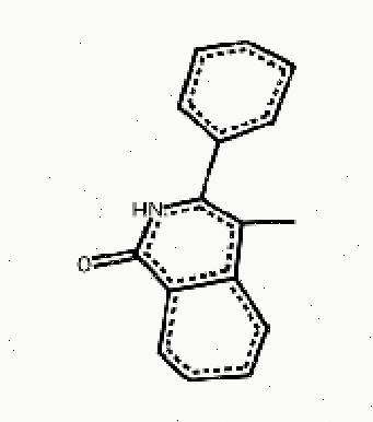 Cc1c(-c2ccccc2)[nH]c(=O)c2ccccc12